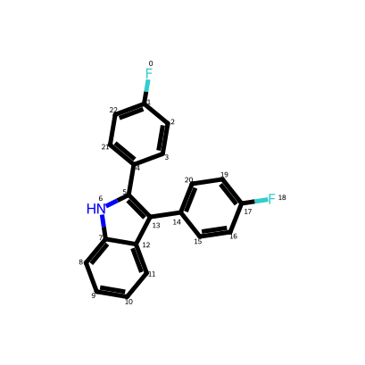 Fc1ccc(-c2[nH]c3ccccc3c2-c2ccc(F)cc2)cc1